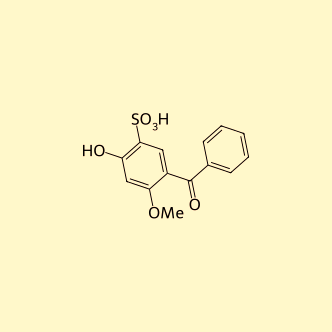 COc1cc(O)c(S(=O)(=O)O)cc1C(=O)c1ccccc1